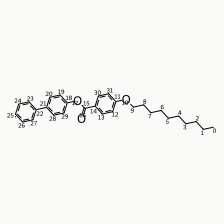 CCCCCCCCCCOc1ccc(C(=O)Oc2ccc(-c3cc[c]cc3)cc2)cc1